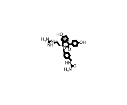 N=C(N)NCCC[C@H](C(N)=O)N(Cc1ccc(CNC(N)=O)cc1)C(=O)C(c1ccc(O)cc1)c1ccc(O)cc1